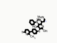 CN/C=C\C(=N)c1nc(O)c(Sc2ccc(-c3ccc(F)nc3C)cc2)c(O)c1N(c1ccccc1)C(C)C